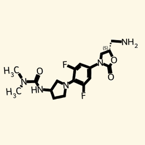 CN(C)C(=O)NC1CCN(c2c(F)cc(N3C[C@H](CN)OC3=O)cc2F)C1